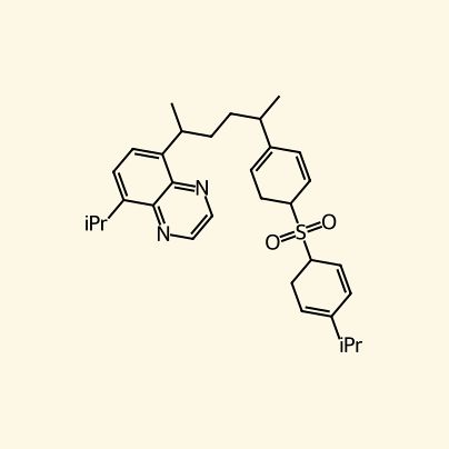 CC(C)C1=CCC(S(=O)(=O)C2C=CC(C(C)CCC(C)c3ccc(C(C)C)c4nccnc34)=CC2)C=C1